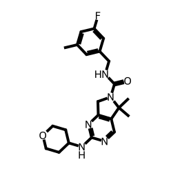 Cc1cc(F)cc(CNC(=O)N2Cc3nc(NC4CCOCC4)ncc3C2(C)C)c1